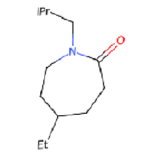 CCC1CCC(=O)N(CC(C)C)CC1